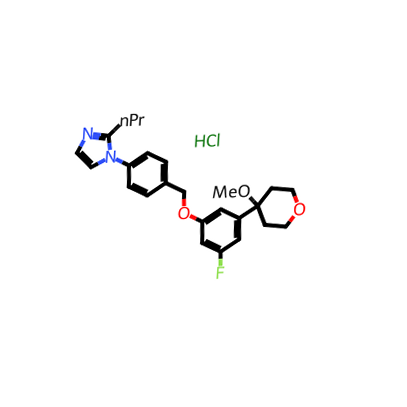 CCCc1nccn1-c1ccc(COc2cc(F)cc(C3(OC)CCOCC3)c2)cc1.Cl